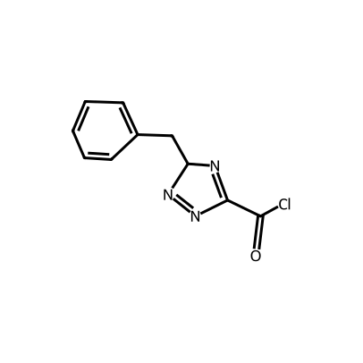 O=C(Cl)C1=NC(Cc2ccccc2)N=N1